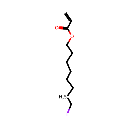 C=CC(=O)OCCCCCC[SiH2]CI